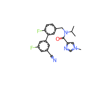 CC(C)N(Cc1ccc(F)c(-c2cc(F)cc(C#N)c2)c1)C(=O)c1cn(C)cn1